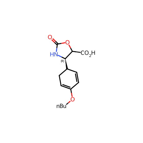 CCCCOC1=CCC([C@H]2NC(=O)OC2C(=O)O)C=C1